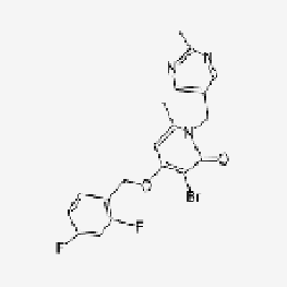 Cc1ncc(Cn2c(C)cc(OCc3ccc(F)cc3F)c(Br)c2=O)cn1